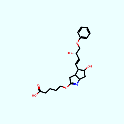 O=C(O)CCCCOC1=NC2CC(O)C(C=C[C@H](O)COc3ccccc3)C2C1